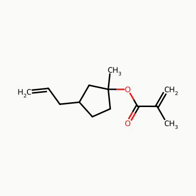 C=CCC1CCC(C)(OC(=O)C(=C)C)C1